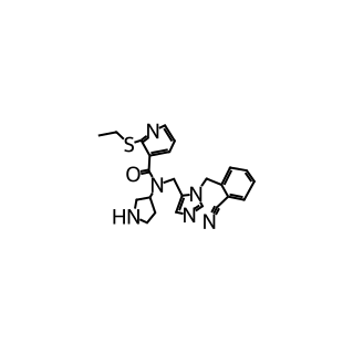 CCSc1ncccc1C(=O)N(Cc1cncn1Cc1ccccc1C#N)C1CCNC1